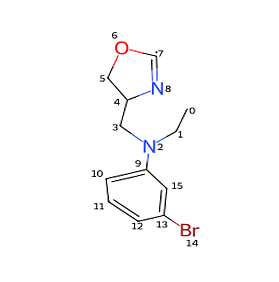 CCN(CC1CO[C]=N1)c1cccc(Br)c1